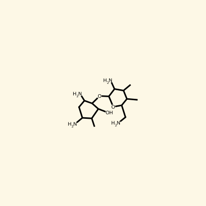 CC1C(CN)OC(OC2C(N)CC(N)C(C)C2O)C(N)C1C